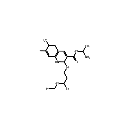 CCC(CCNC1NC2=C(C=C1C(=O)NC(C)N)CC(C)C(F)=C2)NCC(C)C